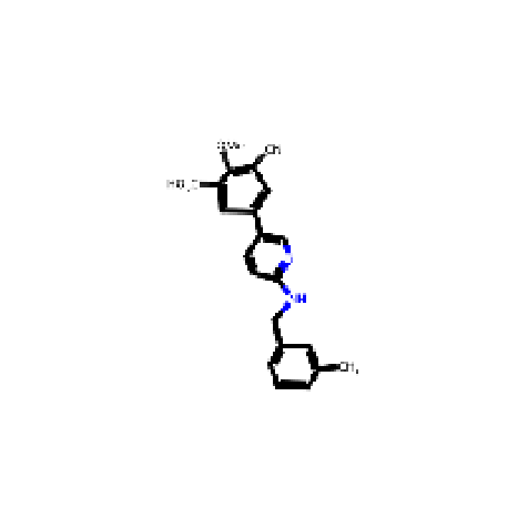 COc1c(C#N)cc(-c2ccc(NCc3cccc(C)c3)nc2)cc1C(=O)O